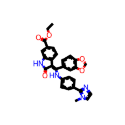 CCOC(=O)c1ccc2c(c1)NC(=O)/C2=C(\Nc1ccc(-c2nccn2C)cc1)c1ccc2c(c1)OCO2